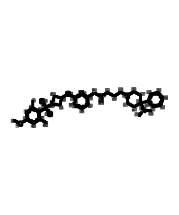 COc1cc(C)c(S(=O)(=O)N2CC(Oc3nccc(CNCCCN4CCC(c5ccccc5)(N(C)C)CC4)n3)C2)c(C)c1